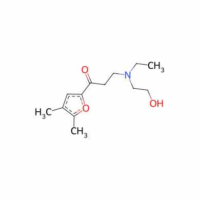 CCN(CCO)CCC(=O)c1cc(C)c(C)o1